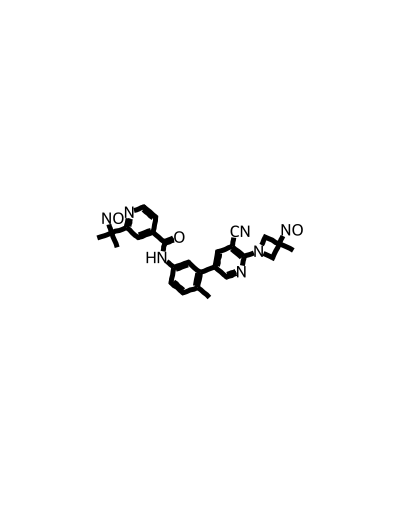 Cc1ccc(NC(=O)c2ccnc(C(C)(C)N=O)c2)cc1-c1cnc(N2CC(C)(N=O)C2)c(C#N)c1